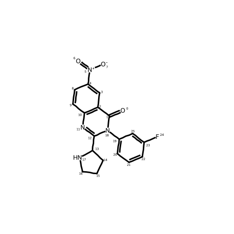 O=c1c2cc([N+](=O)[O-])ccc2nc(C2CCCN2)n1-c1cccc(F)c1